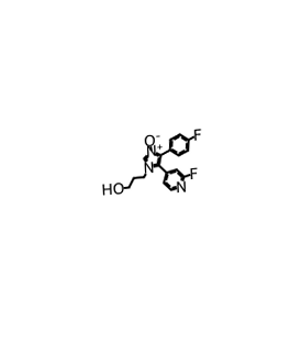 [O-][n+]1cn(CCCO)c(-c2ccnc(F)c2)c1-c1ccc(F)cc1